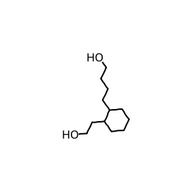 OCCCCC1CCCCC1CCO